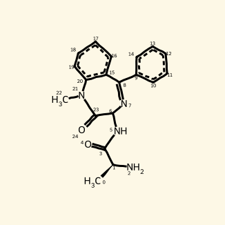 C[C@H](N)C(=O)NC1N=C(c2ccccc2)c2ccccc2N(C)C1=O